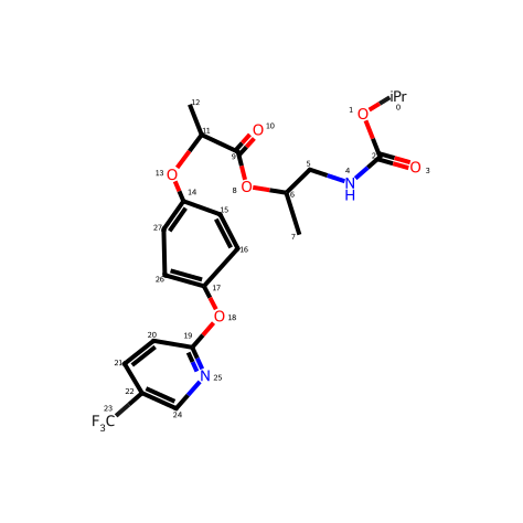 CC(C)OC(=O)NCC(C)OC(=O)C(C)Oc1ccc(Oc2ccc(C(F)(F)F)cn2)cc1